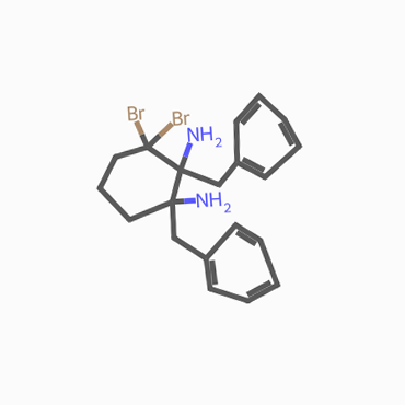 NC1(Cc2ccccc2)CCCC(Br)(Br)C1(N)Cc1ccccc1